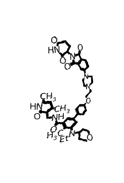 CCN(c1cc(-c2ccc(OCCN3CCN(c4ccc5c(c4)C(=O)N(C4CCC(=O)NC4=O)C5=O)CC3)cc2)cc(C(=O)NCc2c(C)cc(C)[nH]c2=O)c1C)C1CCOCC1